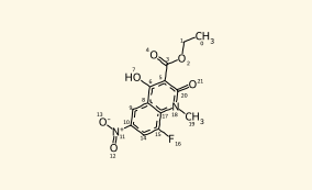 CCOC(=O)c1c(O)c2cc([N+](=O)[O-])cc(F)c2n(C)c1=O